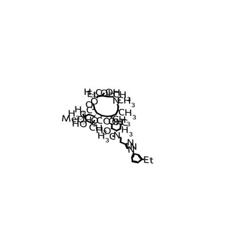 CCc1cccc(-n2cc(CCN(C)[C@H]3C[C@@H](C)O[C@@H](O[C@@H]4[C@@H](C)[C@H](C5C[C@@](C)(OC)[C@@H](O)[C@H](C)O5)[C@@H](C)C(=O)O[C@H](CC)[C@@](C)(O)[C@H](O)[C@@H](C)N(C)C[C@H](C)C[C@@]4(C)O)[C@@H]3O)nn2)c1